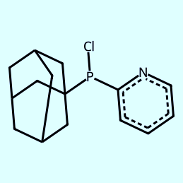 ClP(c1ccccn1)C12CC3CC(CC(C3)C1)C2